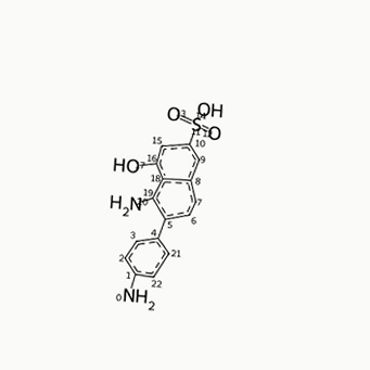 Nc1ccc(-c2ccc3cc(S(=O)(=O)O)cc(O)c3c2N)cc1